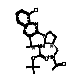 CC(=O)NC[C@H]1CCN(c2nc3c(Cl)cccc3cc2[C@H](C)NC(=O)OC(C)(C)C)C1